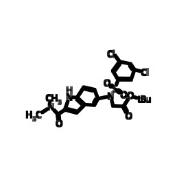 CN(C)C(=O)c1cc2cc(N(CC(=O)OC(C)(C)C)S(=O)(=O)c3cc(Cl)cc(Cl)c3)ccc2[nH]1